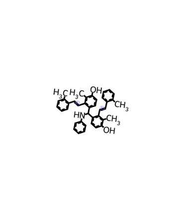 Cc1ccccc1/C=C/c1c(C(Nc2ccccc2)c2ccc(O)c(C)c2/C=C/c2ccccc2C)ccc(O)c1C